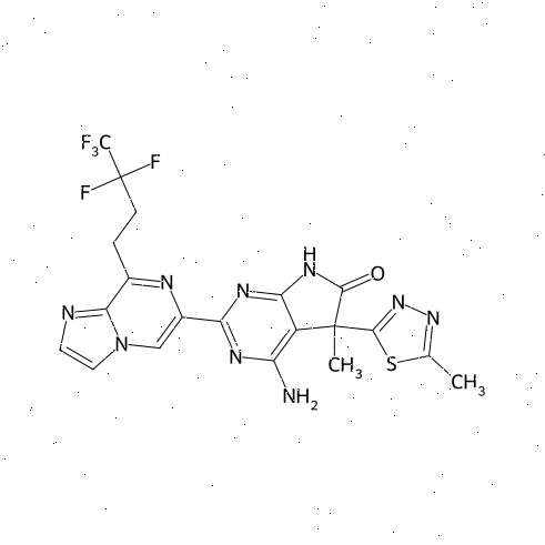 Cc1nnc(C2(C)C(=O)Nc3nc(-c4cn5ccnc5c(CCC(F)(F)C(F)(F)F)n4)nc(N)c32)s1